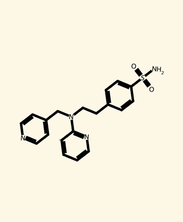 NS(=O)(=O)c1ccc(CCN(Cc2ccncc2)c2[c]cccn2)cc1